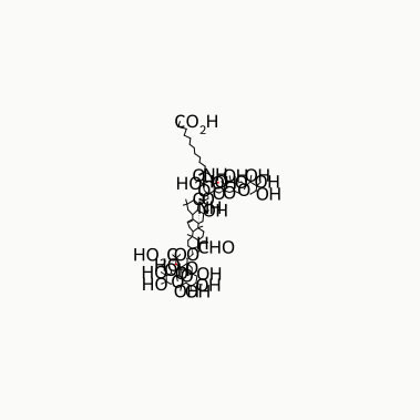 CC1O[C@@H](OC2C(O)[C@@H](NC(=O)CCCCCCCCCCC(=O)O)C(CO)O[C@@H]2OC(=O)N[C@]23CCC(C)(C)CC2C2=CCC4C5(C)CC[C@H](O[C@@H]6OC(C(=O)O)[C@@H](O)[C@H](O[C@@H]7OC[C@@H](O)[C@@H](O)C7O)C6O[C@@H]6OC(CO)[C@H](O)[C@H](O)C6O)[C@](C)(C=O)[C@@H]5CCC4(C)[C@]2(C)CC3O)C(O)C(O)[C@H]1O[C@@H]1OC[C@@H](O)C(O)C1O